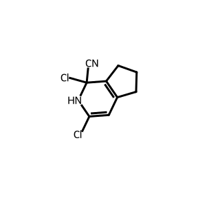 N#CC1(Cl)NC(Cl)=CC2=C1CCC2